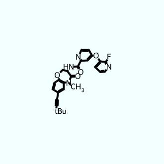 CN1C(=O)[C@@H](NC(=O)c2cc(Oc3cccnc3F)ccn2)COc2ccc(C#CC(C)(C)C)cc21